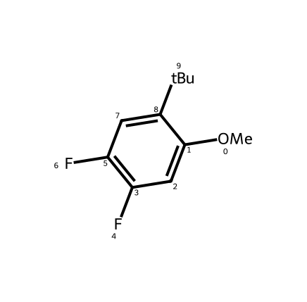 COc1cc(F)c(F)cc1C(C)(C)C